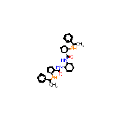 CC(PC1CCCC1C(=O)N[C@H]1CCCCC1NC(=O)[C@H]1CCCC1PC(C)c1ccccc1)c1ccccc1